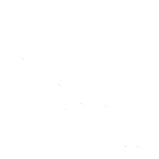 COCC(N)CC(=O)N1CCN(c2ccc(C#N)cn2)CC1